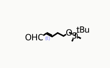 CC(C)(C)[Si](C)(C)OCC/C=C/C=O